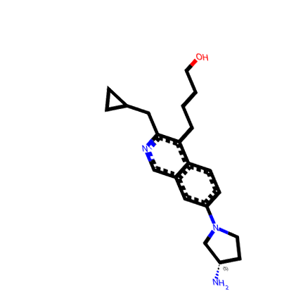 N[C@H]1CCN(c2ccc3c(CCCCO)c(CC4CC4)ncc3c2)C1